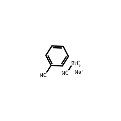 N#Cc1ccccc1.[BH3-]C#N.[Na+]